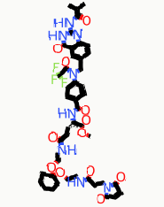 COC(=O)[C@H](CCC(=O)NCCOC1(OCCNC(=O)CCN2C(=O)C=CC2=O)CCCCC1)NC(=O)c1ccc(N(Cc2ccc3nc(NC(=O)C(C)C)[nH]c(=O)c3c2)C(=O)C(F)(F)F)cc1